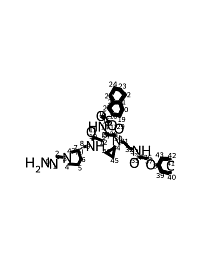 NN=CN1CCC[C@@H](CNC(=O)C[C@H](NS(=O)(=O)c2ccc3ccccc3c2)C(=O)N(CCNC(=O)COc2ccccc2)C2CC2)C1